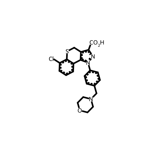 O=C(O)c1nn(-c2ccc(CN3CCOCC3)cc2)c2c1CSc1c(Cl)cccc1-2